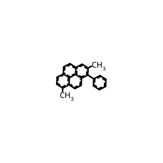 Cc1cc2ccc3ccc(C)c4ccc(c1-c1ccccc1)c2c34